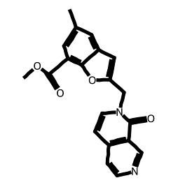 COC(=O)c1cc(C)cc2cc(Cn3ccc4ccncc4c3=O)oc12